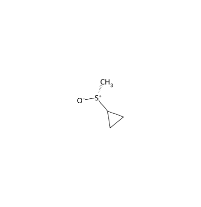 C[S@@+]([O-])C1CC1